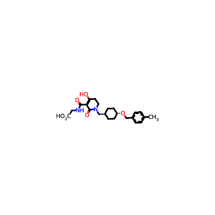 Cc1ccc(CO[C@H]2CC[C@H](CN3CCC(O)=C(C(=O)NCC(=O)O)C3=O)CC2)cc1